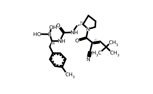 Cc1ccc(C[C@H](NC(=O)NC[C@@H]2CCCN2C(=O)/C(C#N)=C/C(C)(C)C)B(O)O)cc1